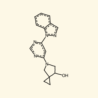 OC1CN(c2cc(-n3ncc4ccccc43)ncn2)CC12CC2